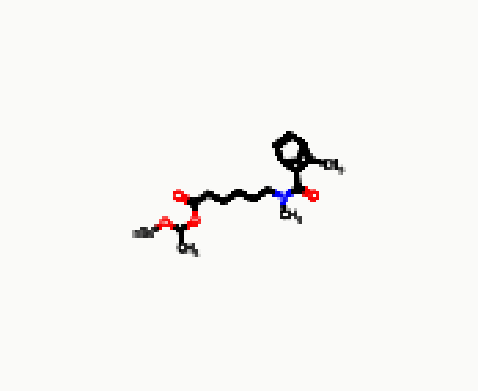 CCCCOC(C)OC(=O)CCCCCN(C)C(=O)C1C2C=CC(C2)C1C